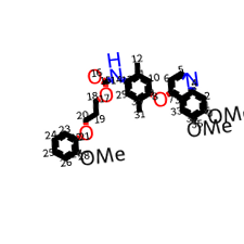 COc1cc2nccc(Oc3cc(C)c(NC(=O)OCCCOc4ccccc4OC)cc3C)c2cc1OC